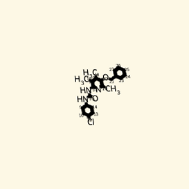 Cc1nc(NC(=O)Nc2ccc(Cl)cc2)c(C)c(C)c1OCc1ccccc1